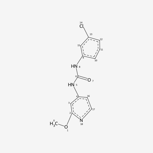 COc1cc(NC(=O)Nc2cccc(Cl)c2)ccn1